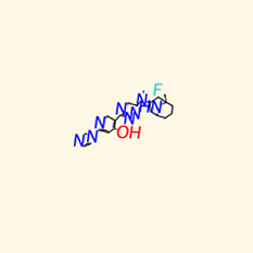 CN(c1cnc(-c2cnc(-n3ccnc3)cc2O)nn1)[C@@H]1CC2CCC[C@](C)(N2)[C@H]1F